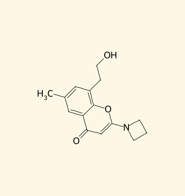 Cc1cc(CCO)c2oc(N3CCC3)cc(=O)c2c1